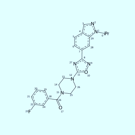 CC(C)n1ncc2ccc(-c3noc(N4CCN(C(=O)c5cccc(F)c5)CC4)n3)cc21